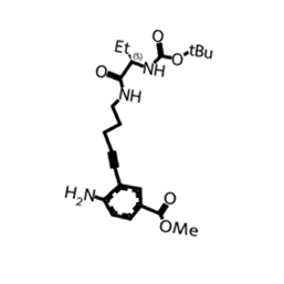 CC[C@H](NC(=O)OC(C)(C)C)C(=O)NCCCC#Cc1cc(C(=O)OC)ccc1N